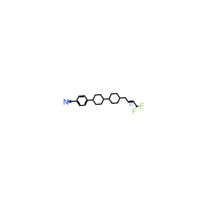 N#Cc1ccc(C2CCC(C3CCC(C/C=C/C(F)F)CC3)CC2)cc1